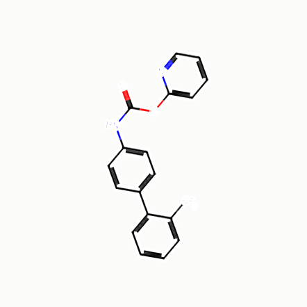 O=C(Nc1ccc(-c2ccccc2C(F)(F)F)cc1)Oc1ccccn1